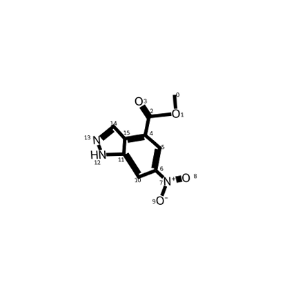 COC(=O)c1cc([N+](=O)[O-])cc2[nH]ncc12